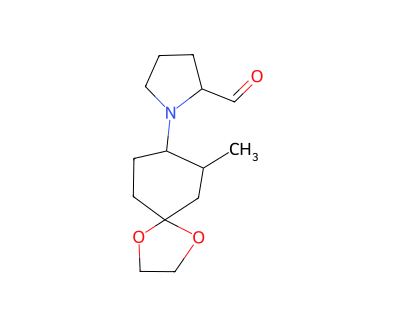 CC1CC2(CCC1N1CCCC1C=O)OCCO2